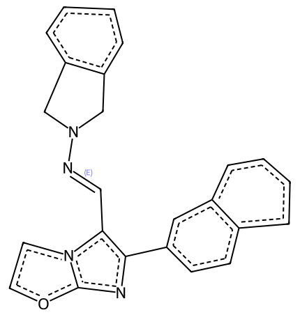 C(=N\N1Cc2ccccc2C1)/c1c(-c2ccc3ccccc3c2)nc2occn12